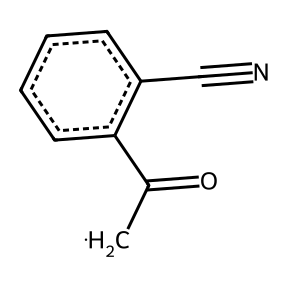 [CH2]C(=O)c1ccccc1C#N